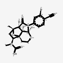 CN(C(=O)O)[C@H]1C[C@@]2(C)O[C@@]13CCO[C@H]1[C@@H]3[C@@H]2C(=O)N1c1ccc(C#N)c(Br)c1